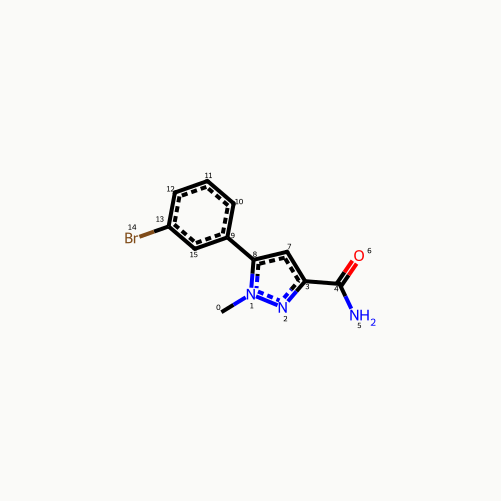 Cn1nc(C(N)=O)cc1-c1cccc(Br)c1